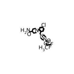 CC(OC(=O)N1CCN(Cc2ccc(Cl)cc2N2CCC(C(N)=O)CC2)CC1)C(F)(F)F